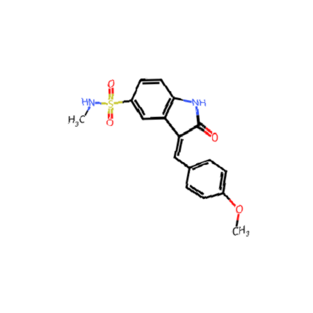 CNS(=O)(=O)c1ccc2c(c1)C(=Cc1ccc(OC)cc1)C(=O)N2